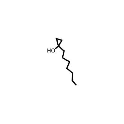 CCCCCCCC1(O)CC1